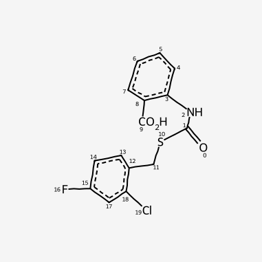 O=C(Nc1ccccc1C(=O)O)SCc1ccc(F)cc1Cl